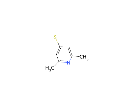 Cc1cc([S])cc(C)n1